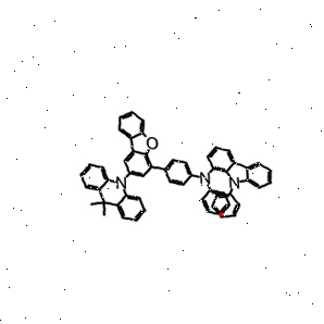 CC1(C)c2ccccc2N(c2cc(-c3ccc(N(c4ccccc4)c4cccc5c6ccccc6n(-c6ccccc6)c45)cc3)c3oc4ccccc4c3c2)c2ccccc21